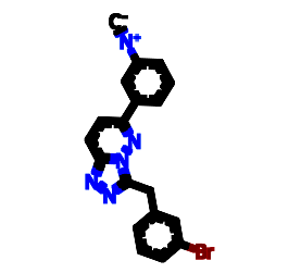 [C-]#[N+]c1cccc(-c2ccc3nnc(Cc4cccc(Br)c4)n3n2)c1